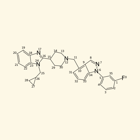 Fc1cccc(-n2ncc3c(CN4CCC(c5nc6ccccc6n5CC5CC5)CC4)cccc32)c1